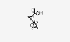 O=C(O)C1CC1c1ccco1